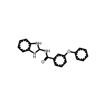 O=C(NC1Nc2ccccc2N1)c1cccc(Oc2ccccc2)c1